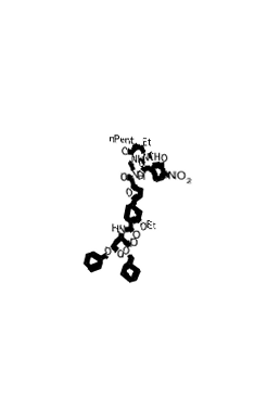 CCCCCC(C(=O)NCNC(=O)c1ccc(-c2ccc(C(=O)NC(CC(=O)OCc3ccccc3)C(=O)OCc3ccccc3)c(OCC)c2)o1)[C@@H](CC)N(C=O)OC(=O)c1ccc([N+](=O)[O-])cc1